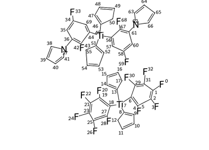 Fc1c(F)c(F)[c]([Ti]([C]2=CC=CC2)([C]2=CC=CC2)[c]2c(F)c(F)c(F)c(F)c2F)c(F)c1F.Fc1cc(-n2cccc2)c(F)[c]([Ti]([C]2=CC=CC2)([C]2=CC=CC2)[c]2cc(F)cc(-n3cccc3)c2F)c1